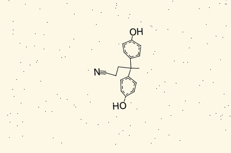 CC(CCC#N)(c1ccc(O)cc1)c1ccc(O)cc1